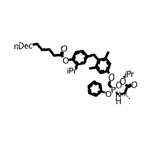 CCCCCCCCCCCCCCC(=O)Oc1ccc(Cc2c(C)cc(OCP(=O)(N[C@@H](C)C(=O)OC(C)C)Oc3ccccc3)cc2C)cc1C(C)C